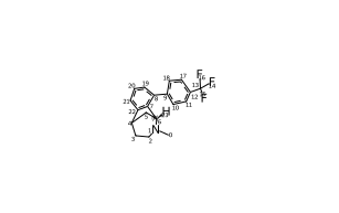 CN1CCC2C[C@@H]1c1c(-c3ccc(C(F)(F)F)cc3)cccc12